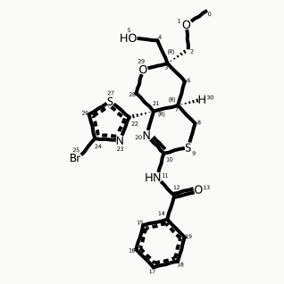 COC[C@]1(CO)C[C@H]2CSC(NC(=O)c3ccccc3)=N[C@@]2(c2nc(Br)cs2)CO1